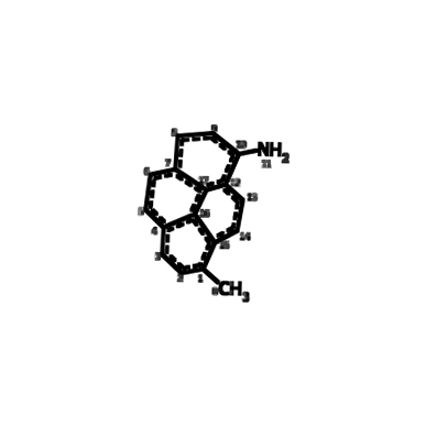 Cc1ccc2ccc3ccc(N)c4ccc1c2c34